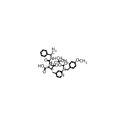 COc1ccc(CN(C(=O)OC(C)(C)C)c2cc(C[C@H]3C(=O)N(C(=O)NC(C)c4ccccc4)[C@@H]3C(=O)O)ccn2)cc1